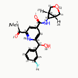 CNC(=O)c1cc(C(=O)N[C@H]2[C@@H]3COC[C@@H]32)cc([C@@H](O)c2cccc(F)c2)n1